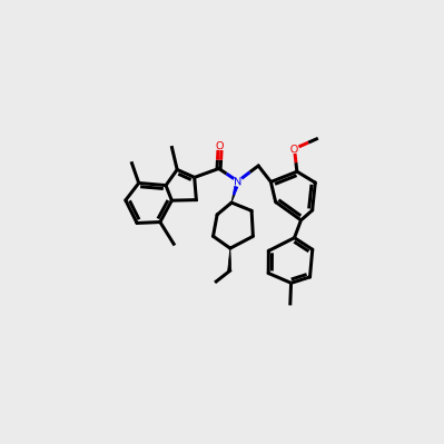 CC[C@H]1CC[C@@H](N(Cc2cc(-c3ccc(C)cc3)ccc2OC)C(=O)C2=C(C)c3c(C)ccc(C)c3C2)CC1